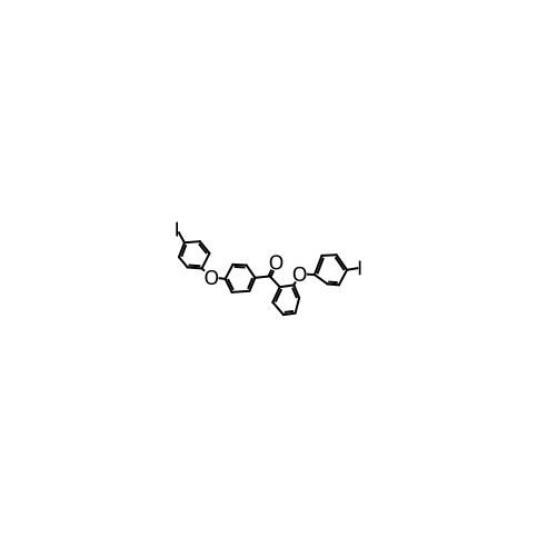 O=C(c1ccc(Oc2ccc(I)cc2)cc1)c1ccccc1Oc1ccc(I)cc1